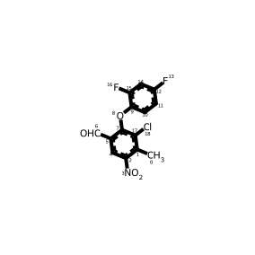 Cc1c([N+](=O)[O-])cc(C=O)c(Oc2ccc(F)cc2F)c1Cl